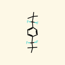 CC(C)(C)C(F)(F)c1ccc(C(F)(F)C(C)(C)C)cc1